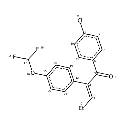 CCC=C(C(=O)c1ccc(Cl)cc1)c1ccc(OC(F)F)cc1